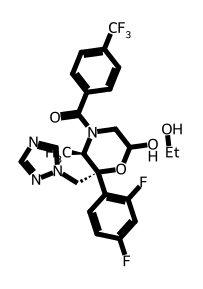 CCO.C[C@H]1N(C(=O)c2ccc(C(F)(F)F)cc2)CC(O)O[C@@]1(Cn1cncn1)c1ccc(F)cc1F